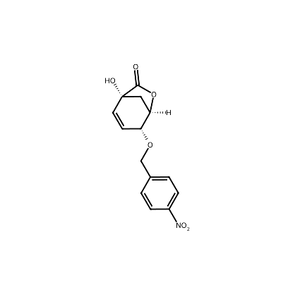 O=C1O[C@@H]2C[C@@]1(O)C=C[C@H]2OCc1ccc([N+](=O)[O-])cc1